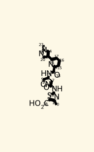 Cc1nc(NC(=O)C[C@@H](CC#N)NC(=O)c2cccc(-c3cnn(C)c3)n2)sc1C(=O)O